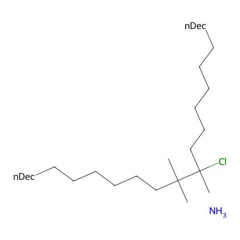 CCCCCCCCCCCCCCCCC(C)(C)C(C)(Cl)CCCCCCCCCCCCCCCC.N